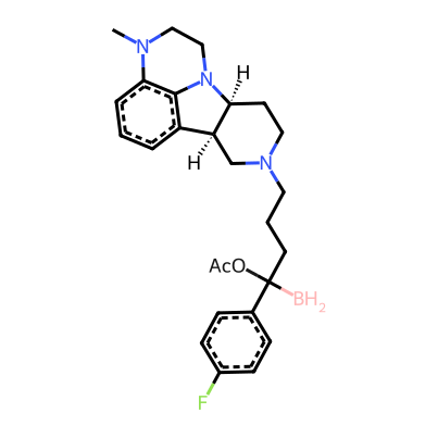 BC(CCCN1CC[C@H]2[C@@H](C1)c1cccc3c1N2CCN3C)(OC(C)=O)c1ccc(F)cc1